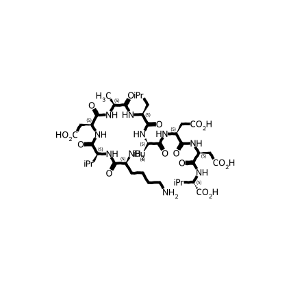 CC[C@H](C)[C@H](NC(=O)[C@H](CC(C)C)NC(=O)[C@H](C)NC(=O)[C@H](CC(=O)O)NC(=O)[C@@H](NC(=O)[C@@H](N)CCCCN)C(C)C)C(=O)N[C@@H](CC(=O)O)C(=O)N[C@@H](CC(=O)O)C(=O)N[C@H](C(=O)O)C(C)C